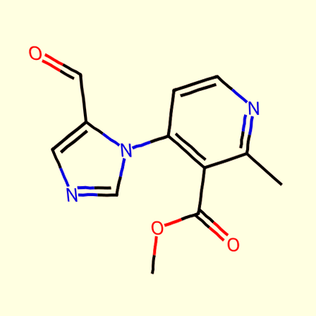 COC(=O)c1c(-n2cncc2C=O)ccnc1C